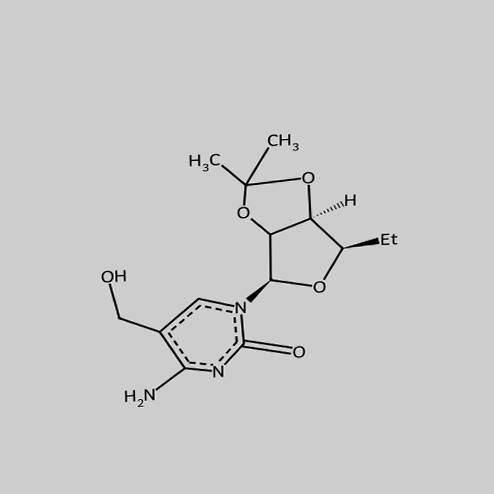 CC[C@H]1O[C@@H](n2cc(CO)c(N)nc2=O)C2OC(C)(C)O[C@H]21